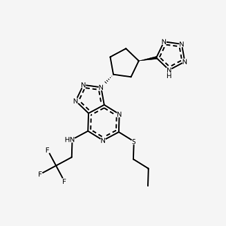 CCCSc1nc(NCC(F)(F)F)c2nnn([C@@H]3CC[C@@H](c4nnn[nH]4)C3)c2n1